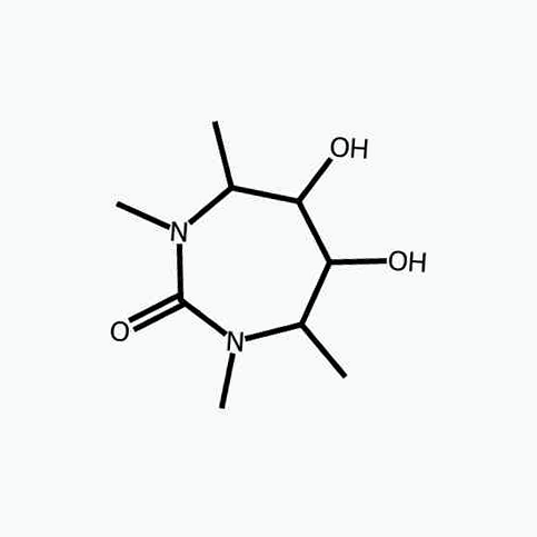 CC1C(O)C(O)C(C)N(C)C(=O)N1C